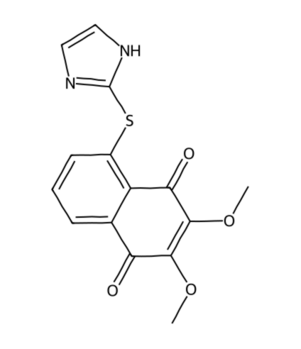 COC1=C(OC)C(=O)c2c(Sc3ncc[nH]3)cccc2C1=O